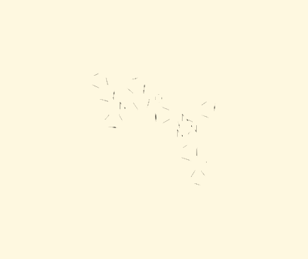 c1ccc(-c2nc(-c3ccc4c(c3)oc3c5ccccc5c(-n5c6ccccc6c6cc7ccccc7cc65)cc43)nc(-c3ccc4c(c3)sc3ccccc34)n2)cc1